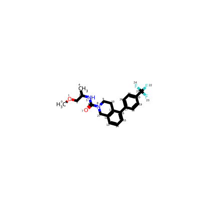 COCC(C)NC(=O)N1CCc2c(cccc2-c2ccc(C(F)(F)F)cc2)C1